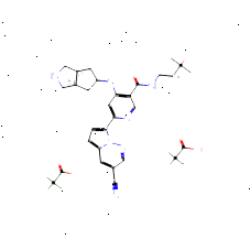 CC(C)(O)[C@H](F)CNC(=O)c1cnc(-c2ccc3cc(C#N)cnn23)cc1NC1C[C@H]2CNC[C@H]2C1.O=C(O)C(F)(F)F.O=C(O)C(F)(F)F